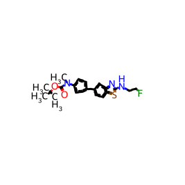 CN(C(=O)OC(C)(C)C)c1ccc(-c2ccc3sc(NCCF)nc3c2)cc1